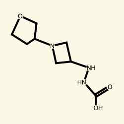 O=C(O)NNC1CN(C2CCOC2)C1